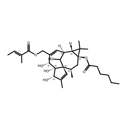 C/C=C(\C)C(=O)OCC1=C[C@@H]2C(O)[C@]3(C=C(C)[C@H](O)[C@@]3(O)[C@@H]1O)[C@H](C)C[C@]1(OC(=O)CCCCC)[C@H]2C1(C)C